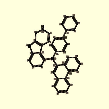 C1=Cc2c(oc3cccc(N(c4ccc(-c5ccccc5)cc4)c4cc5ccccc5c5ccccc45)c23)CN1